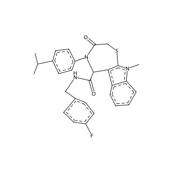 CC(C)c1ccc(N2C(=O)CSc3c(c4ccccc4n3C)C2C(=O)NCc2ccc(F)cc2)cc1